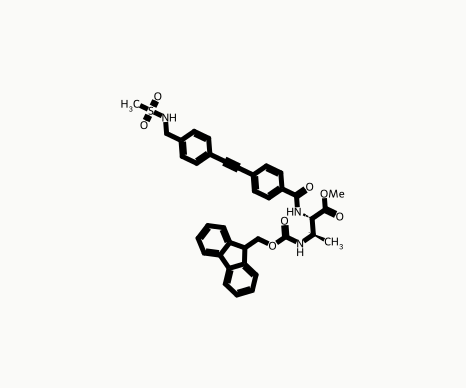 COC(=O)[C@@H](NC(=O)c1ccc(C#Cc2ccc(CNS(C)(=O)=O)cc2)cc1)[C@@H](C)NC(=O)OCC1c2ccccc2-c2ccccc21